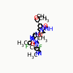 Cc1cc(-n2nc3c(c2-n2ccn(-c4ccc5c(cnn5C)c4F)c2=O)[C@H](C)N(C(=O)c2cc4cc([C@H]5CCOC(C)(C)C5)ccc4n2[C@@]2(C4=NOCN4)C[C@@H]2C)CC3)cc(C)c1F